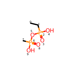 CCP(=O)(O)OP(C)(=O)O